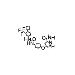 [2H]c1cc(Oc2ccc(NC(=O)Nc3ccc(Cl)c(C(F)(F)F)c3)cc2)cc(C(=O)NC)n1